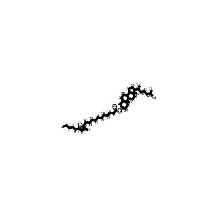 CCCCCc1cc(C)c(CCCCCCCCCCC(=O)OC2CCC3(C)C(=CCC4C3CCC3(C)C(C(C)CCCC(C)C)CCC43)C2)o1